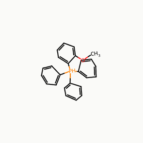 COc1ccccc1[PH](c1ccccc1)(c1ccccc1)c1ccccc1